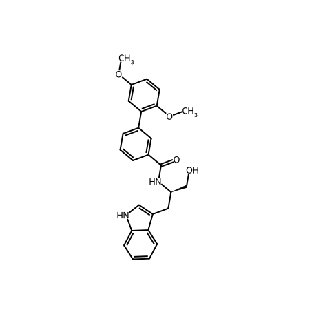 COc1ccc(OC)c(-c2cccc(C(=O)N[C@@H](CO)Cc3c[nH]c4ccccc34)c2)c1